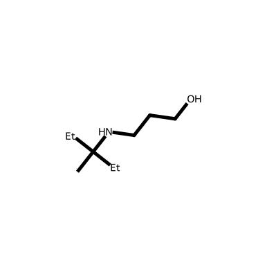 CCC(C)(CC)NCCCO